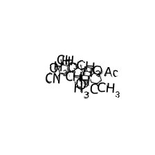 [C-]#[N+]C1=C[C@]2(C)C3=CC(=O)[C@@H]4[C@@H]5CC(C)(C)CC[C@]5(OC(C)=O)CC[C@@]4(C)[C@]3(C)CC[C@H]2[C@H](C)C1=O